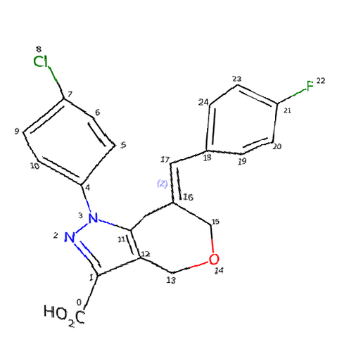 O=C(O)c1nn(-c2ccc(Cl)cc2)c2c1COC/C2=C\c1ccc(F)cc1